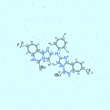 Cc1cc(C)c(N(c2nc3c4ccc(C(F)(F)F)cc4nc(C(C)(C)C)n3c2C)c2nc3c4ccc(C(F)(F)F)cc4nc(C(C)(C)C)n3c2C)c(C)c1